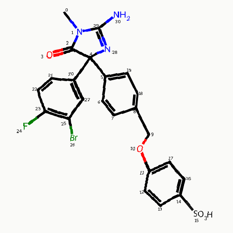 CN1C(=O)C(c2ccc(COc3ccc(S(=O)(=O)O)cc3)cc2)(c2ccc(F)c(Br)c2)N=C1N